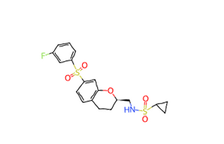 O=S(=O)(c1cccc(F)c1)c1ccc2c(c1)O[C@@H](CNS(=O)(=O)C1CC1)CC2